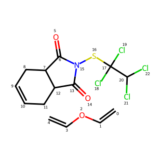 C=COC=C.O=C1C2CC=CCC2C(=O)N1SC(Cl)(Cl)C(Cl)Cl